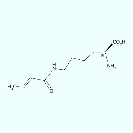 CC=CC(=O)NCCCC[C@H](N)C(=O)O